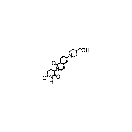 O=C1CCC(n2ccc3cc(N4CCC(CO)CC4)ccc3c2=O)C(=O)N1